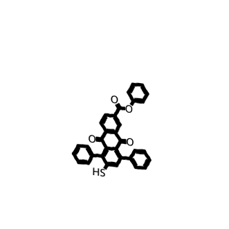 O=C(Oc1ccccc1)c1ccc2c(c1)C(=O)c1c(-c3ccccc3)cc(S)c(-c3ccccc3)c1C2=O